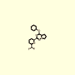 FC(F)c1cccc(-c2nc(Oc3ccccc3)c3cccn3n2)n1